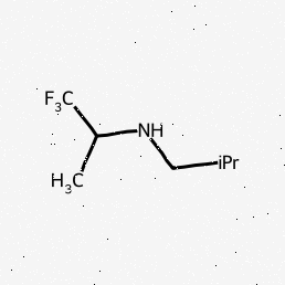 CC(C)CNC(C)C(F)(F)F